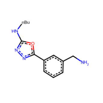 CCCCNc1nnc(-c2cccc(CN)c2)o1